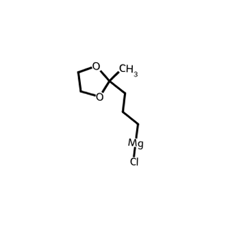 CC1(CC[CH2][Mg][Cl])OCCO1